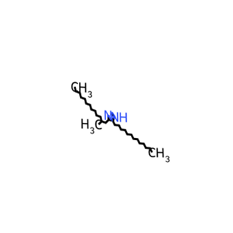 CCCCCCCCCCCCCc1[nH]cnc1CC(C)CCCCCCCCCCC